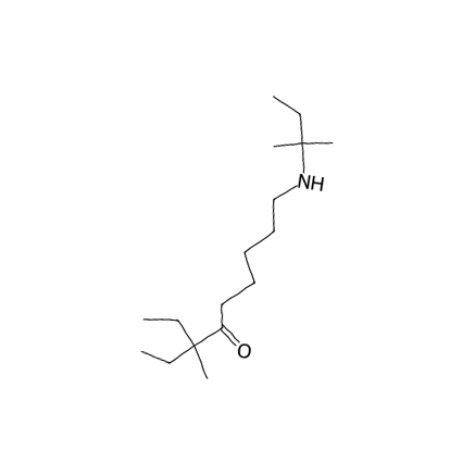 CCC(C)(C)NCCCCCC(=O)C(C)(CC)CC